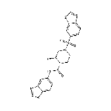 O=C(Nc1ccc2scnc2c1)[C@H]1CCN(S(=O)(=O)c2ccc3ncsc3c2)C[C@@H]1F